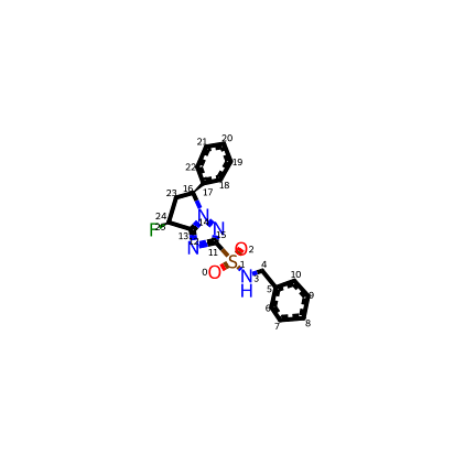 O=S(=O)(NCc1ccccc1)c1nc2n(n1)[C@H](c1ccccc1)C[C@@H]2F